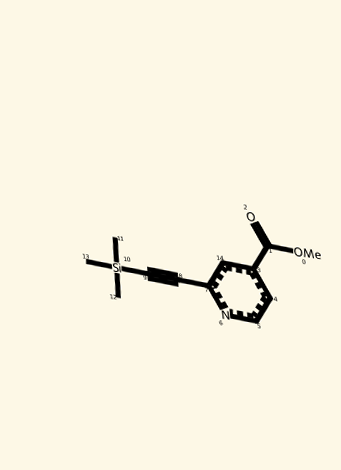 COC(=O)c1ccnc(C#C[Si](C)(C)C)c1